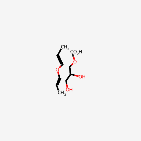 CC=COC=CC.O=C(O)OCC(O)CO